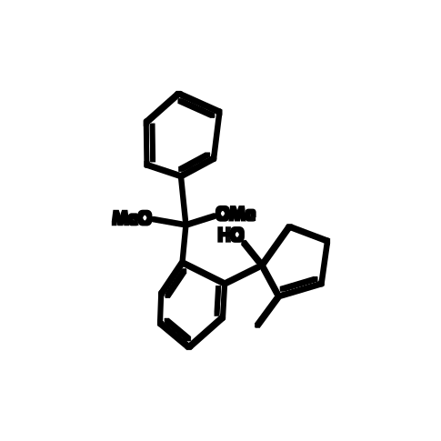 COC(OC)(c1ccccc1)c1ccccc1C1(O)CCC=C1C